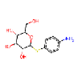 Nc1ccc(SC2O[C@H](CO)[C@@H](O)[C@H](O)[C@H]2O)cc1